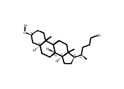 CCO[C@H]1CCC2(C)C3CCC4(C)[C@@H]([C@H](C)CCCC(C)C)CC[C@H]4[C@@H]3CC[C@H]2C1